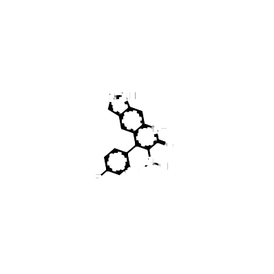 CN(C)c1c(-c2ccc(F)cc2)c2cc3cn[nH]c3cc2[nH]c1=O